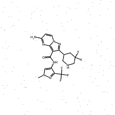 Cn1cc(NC(=O)c2c(C3CNCC(F)(F)C3)nn3ccc(N)nc23)c(C(F)(F)F)n1